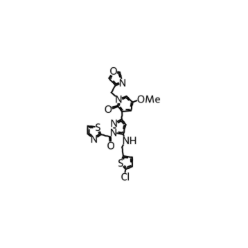 COc1cc(-c2cc(NCc3ccc(Cl)s3)n(C(=O)c3nccs3)n2)c(=O)n(Cc2cocn2)c1